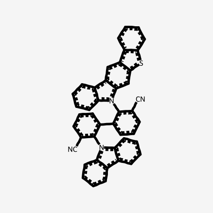 N#Cc1cccc(-c2cccc(C#N)c2-n2c3ccccc3c3cc4c(cc32)sc2ccccc24)c1-n1c2ccccc2c2ccccc21